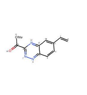 C=Cc1ccc2nnc(C(=O)OC)nc2c1